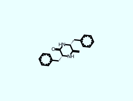 C=C1N[C@H](Cc2ccccc2)C(=O)N[C@@H]1Cc1ccccc1